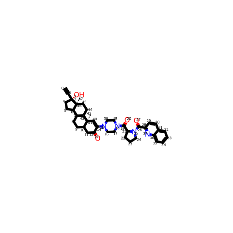 C#C[C@]1(O)CCC2C3CCC4CC(=O)C(N5CCN(C(=O)C6CCCN6C(=O)c6ccc7ccccc7n6)CC5)=C[C@]4(C)C3CC[C@@]21C